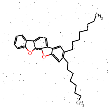 CCCCCCCCc1cc2oc3c(ccc4c5ccccc5oc43)c2cc1CCCCCCCC